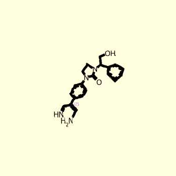 N=C/C(=C\N)c1ccc(N2CCN(C(CO)c3ccccc3)C2=O)cc1